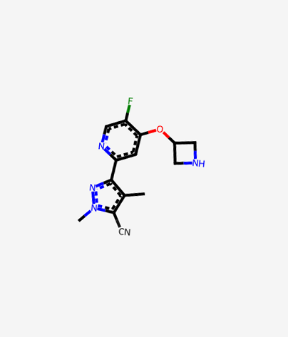 Cc1c(-c2cc(OC3CNC3)c(F)cn2)nn(C)c1C#N